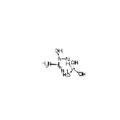 N=C(N)N(N)O.OP(O)O